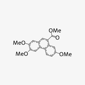 COC(=O)c1cc2cc(OC)c(OC)cc2c2ccc(OC)cc12